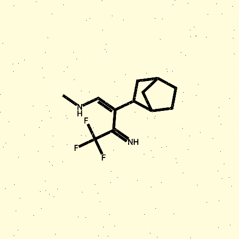 CN/C=C(\C(=N)C(F)(F)F)C1CC2CCC1C2